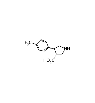 O=C(O)[C@H]1CNC[C@@H]1c1ccc(C(F)(F)F)cc1